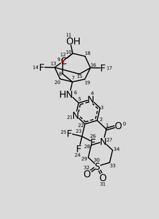 O=C(c1cnc(NC23CCC4(O)CC(F)(CC(F)(C4)C2)C3)nc1C(F)(F)F)N1CCS(=O)(=O)CC1